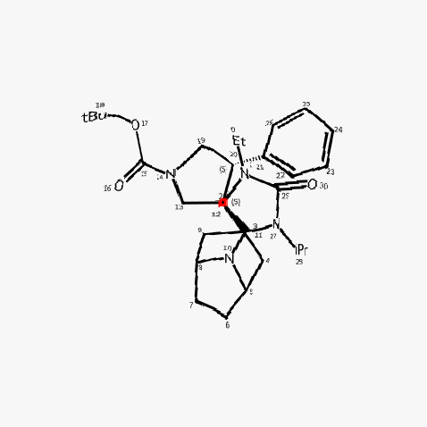 CCN1CC2(CC3CCC(C2)N3C[C@H]2CN(C(=O)OC(C)(C)C)C[C@@H]2c2ccccc2)N(C(C)C)C1=O